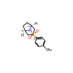 CO[C@@H]1C[C@H]2CC[C@@H](C1)N2S(=O)(=O)c1ccc(C(C)(C)C)cc1